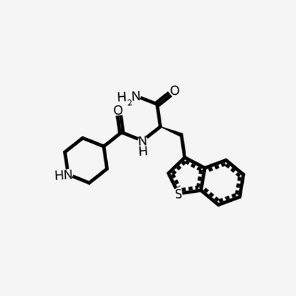 NC(=O)[C@@H](Cc1csc2ccccc12)NC(=O)C1CCNCC1